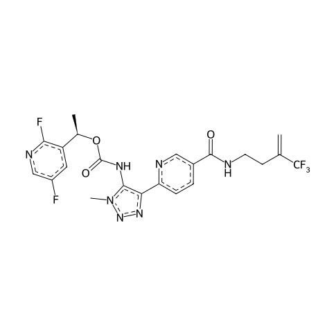 C=C(CCNC(=O)c1ccc(-c2nnn(C)c2NC(=O)O[C@H](C)c2cc(F)cnc2F)nc1)C(F)(F)F